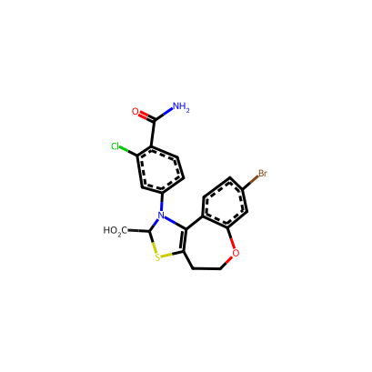 NC(=O)c1ccc(N2C3=C(CCOc4cc(Br)ccc43)SC2C(=O)O)cc1Cl